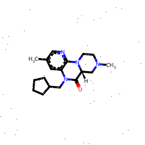 Cc1cnc2c(c1)N(CC1CCCC1)C(=O)[C@H]1CN(C)CCN21